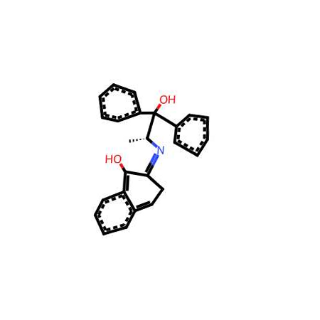 C[C@@H](N=C1CC=c2ccccc2=C1O)C(O)(c1ccccc1)c1ccccc1